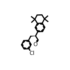 CC1(C)CCC(C)(C)c2cc([C@@H](C=O)Cc3cccc(Cl)c3)ccc21